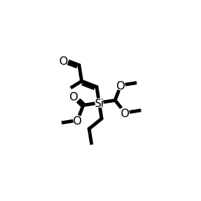 CCC[Si](C=C(C)C=O)(C(=O)OC)C(OC)OC